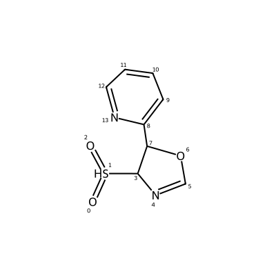 O=[SH](=O)C1N=COC1c1ccccn1